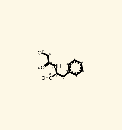 O=[C][C@H](Cc1ccccc1)NC(=O)CCl